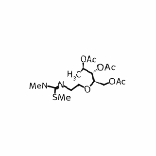 CN/C(=N/CCO[C@H](COC(C)=O)[C@@H](OC(C)=O)[C@@H](C)OC(C)=O)SC